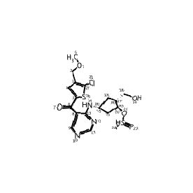 COCc1cc(C(=O)c2cncnc2N[C@@H]2C[C@H](CO)[C@@H](O[SH](#P)I)C2)sc1Cl